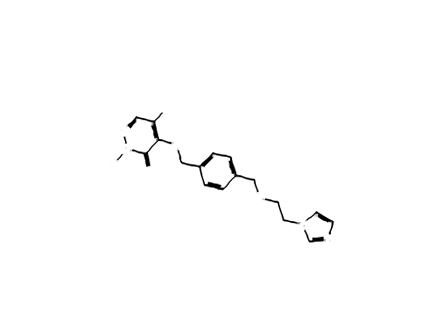 CC(C)(C)n1ncc(Cl)c(OCc2ccc(COCCn3ccnc3)cc2)c1=O